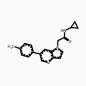 Cc1ccc(-c2cnc3ccn(CC(=O)NC4CC4)c3c2)cc1